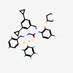 O=C(O)c1ccc(N(Cc2cc(C3CC3)cc(C3CC3)c2)C(=O)CN(Cc2ccc(F)cc2Cl)S(=O)(=O)c2c(F)c(F)c(F)c(F)c2F)c(OC2CCOC2)c1